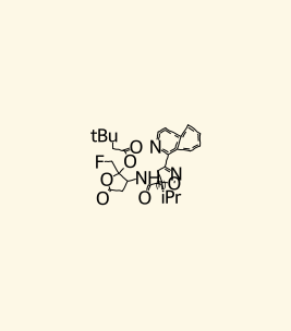 CC(C)[C@@]1(C(=O)NC2CC(=O)OC2(CF)OC(=O)CC(C)(C)C)CC(c2nccc3ccccc23)=NO1